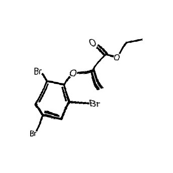 C=C(Oc1c(Br)cc(Br)cc1Br)C(=O)OCC